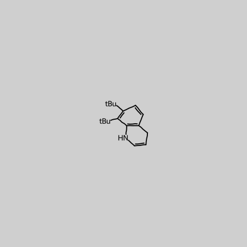 CC(C)(C)c1ccc2c(c1C(C)(C)C)NC=CC2